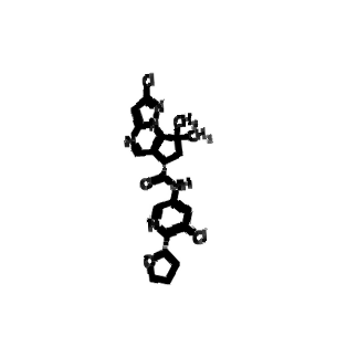 CC1(C)C[C@H](C(=O)Nc2cnc([C@@H]3CCCO3)c(Cl)c2)c2cnc3cc(Cl)nn3c21